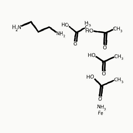 CC(=O)O.CC(=O)O.CC(=O)O.CC(=O)O.N.NCCCN.[Fe]